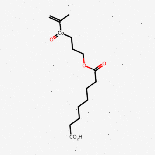 C=[C](C)[Co](=[O])[CH2]CCOC(=O)CCCCCCC(=O)O